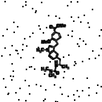 COC(=O)c1ccc(Cc2cn(C)c3ccc(CC(C)NC(=O)N(C)C)cc23)c(OC)c1